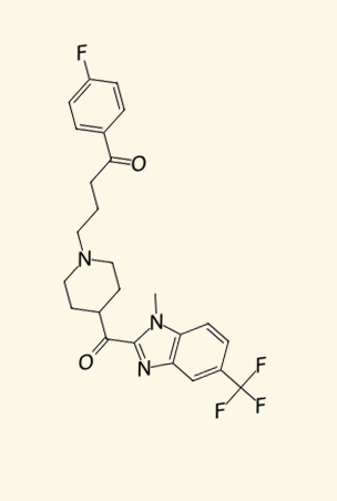 Cn1c(C(=O)C2CCN(CCCC(=O)c3ccc(F)cc3)CC2)nc2cc(C(F)(F)F)ccc21